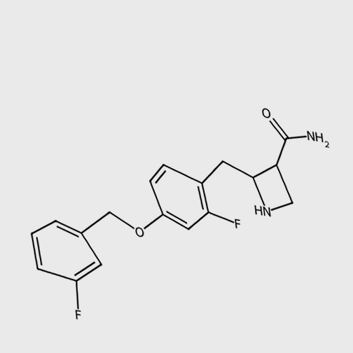 NC(=O)C1CNC1Cc1ccc(OCc2cccc(F)c2)cc1F